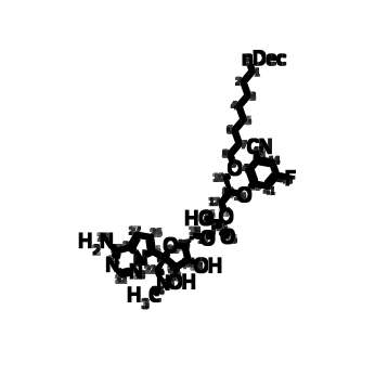 CCCCCCCCCCCCCCCCCCOC[C@H](COP(=O)(O)OC[C@H]1O[C@@](C=NC)(c2ccc3c(N)ncnn23)[C@H](O)[C@@H]1O)Oc1cc(F)cc(C#N)c1